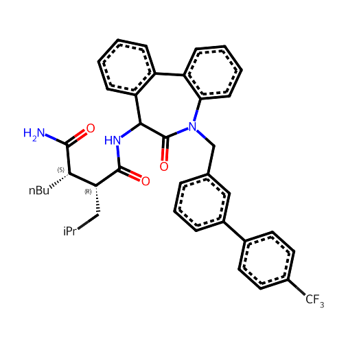 CCCC[C@H](C(N)=O)[C@@H](CC(C)C)C(=O)NC1C(=O)N(Cc2cccc(-c3ccc(C(F)(F)F)cc3)c2)c2ccccc2-c2ccccc21